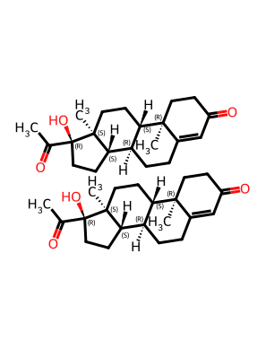 CC(=O)[C@@]1(O)CC[C@H]2[C@@H]3CCC4=CC(=O)CC[C@]4(C)[C@H]3CC[C@@]21C.CC(=O)[C@@]1(O)CC[C@H]2[C@@H]3CCC4=CC(=O)CC[C@]4(C)[C@H]3CC[C@@]21C